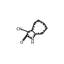 [C-]#[N+]c1c2cccccc-2[nH]c1=O